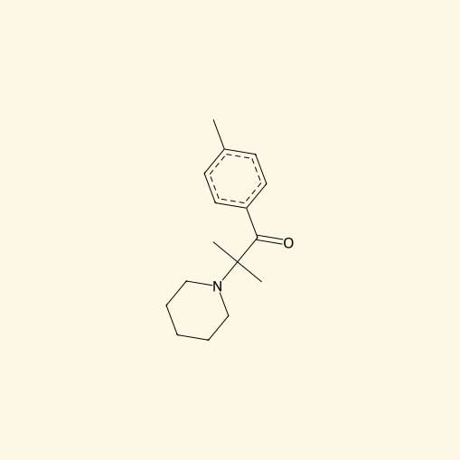 Cc1ccc(C(=O)C(C)(C)N2CCCCC2)cc1